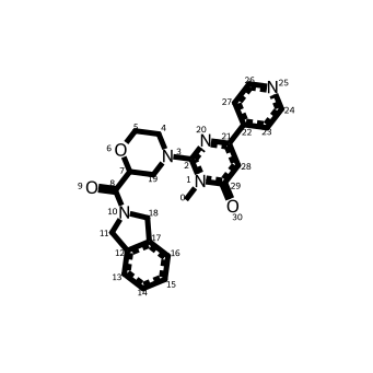 Cn1c(N2CCOC(C(=O)N3Cc4ccccc4C3)C2)nc(-c2ccncc2)cc1=O